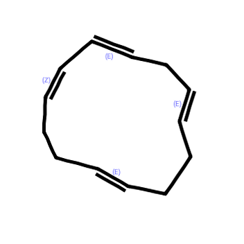 C1=C\CC/C=C/CC/C=C/C/C=C/1